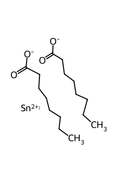 CCCCCCCC(=O)[O-].CCCCCCCC(=O)[O-].[Sn+2]